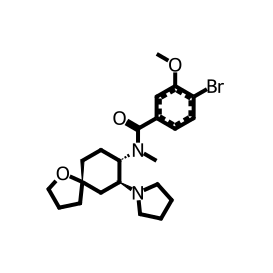 COc1cc(C(=O)N(C)[C@H]2CC[C@]3(CCCO3)C[C@@H]2N2CCCC2)ccc1Br